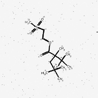 CC(C)(C)CC(C)(C(=O)OCCS(C)(=O)=O)C(C)(C)C